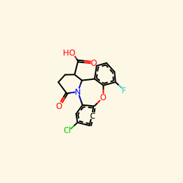 O=C(O)C1CCC(=O)N2c3cc(Cl)ccc3Oc3c(F)cccc3C12